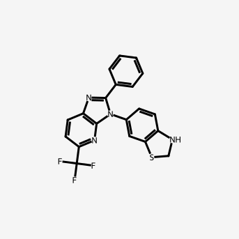 FC(F)(F)c1ccc2nc(-c3ccccc3)n(-c3ccc4c(c3)SCN4)c2n1